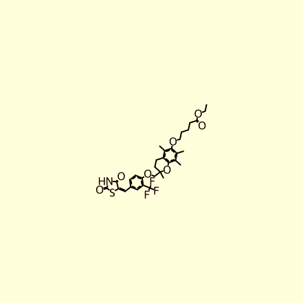 CCOC(=O)CCCCOc1c(C)c(C)c2c(c1C)CCC(C)(COc1ccc(C=C3SC(=O)NC3=O)cc1C(F)(F)F)O2